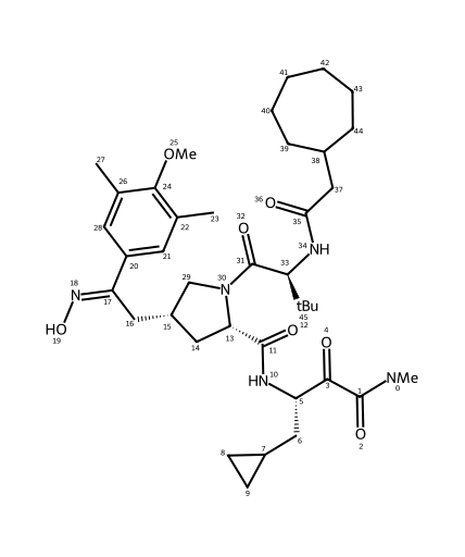 CNC(=O)C(=O)[C@H](CC1CC1)NC(=O)[C@@H]1C[C@H](C/C(=N\O)c2cc(C)c(OC)c(C)c2)CN1C(=O)[C@@H](NC(=O)CC1CCCCCC1)C(C)(C)C